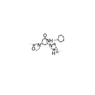 C[C@@H]1CN(c2cc(N3C[C@@H]4C([C@H]3Cc3ccccc3)[C@@H]4C)[nH]c(=O)c2)CCO1